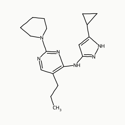 CCCc1cnc(N2CCCCC2)nc1Nc1cc(C2CC2)[nH]n1